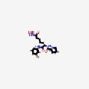 O=C(CCCC[C@@H](NC(=O)c1ccccn1)C(=O)Nc1cccc(Br)c1)NO